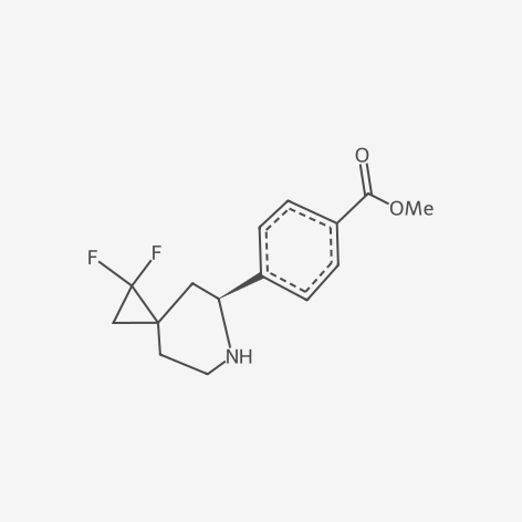 COC(=O)c1ccc([C@@H]2CC3(CCN2)CC3(F)F)cc1